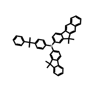 CC(C)(c1ccccc1)c1ccc(N(c2ccc3c(c2)C(C)(C)c2ccccc2-3)c2ccc3c(c2)C(C)(C)c2cc4ccccc4cc2-3)cc1